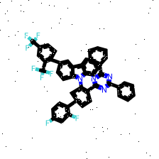 Fc1ccc(-c2ccc(-c3nc(-c4ccccc4)nc(-c4ccccc4)n3)c(-n3c4ccccc4c4cc(-c5ccc(C(F)(F)F)cc5C(F)(F)F)ccc43)c2)c(F)c1